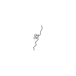 CCCCCCCCCC.N#CO